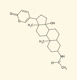 C[S+]([O-])NC1CCC2(C)C(CCC3C2CCC2(C)C(c4ccc(=O)oc4)CCC32O)C1